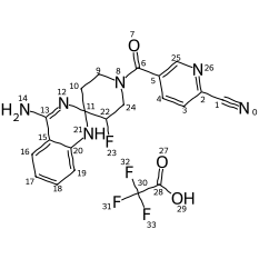 N#Cc1ccc(C(=O)N2CCC3(N=C(N)c4ccccc4N3)C(F)C2)cn1.O=C(O)C(F)(F)F